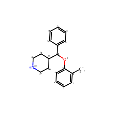 FC(F)(F)c1ccccc1OC(c1ccccc1)C1CCNCC1